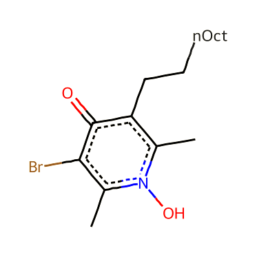 CCCCCCCCCCc1c(C)n(O)c(C)c(Br)c1=O